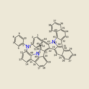 c1ccc(N(c2ccccc2)c2cccc3c4cccc5c6c7c8cc9ccccc9c9c%10ccc%11ccccc%11c%10n(c7ccc6n(c23)c45)c89)cc1